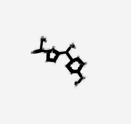 CC(C)Oc1ccc(C(C)c2ccn(C(N)=O)n2)cn1